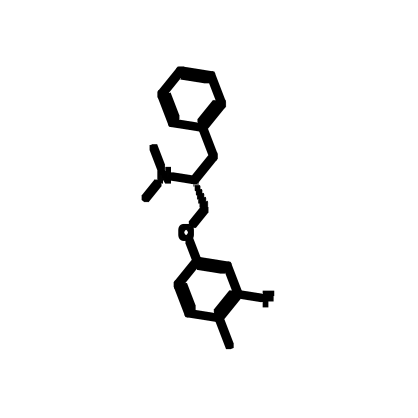 Cc1ccc(OC[C@@H](Cc2ccccc2)N(C)C)cc1F